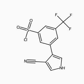 N#Cc1c[nH]cc1-c1cc(C(F)(F)F)cc(S(=O)(=O)Cl)c1